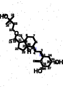 C=C1/C(=C\C=C2/CCC[C@]3(C)C([C@H](C)OCCC(C)(C)O)CC[C@@H]23)C[C@@H](O)C[C@@H]1O